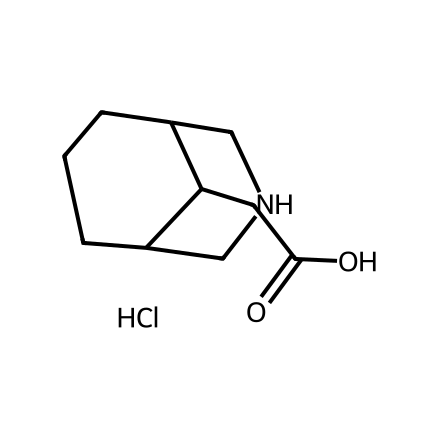 Cl.O=C(O)CC1C2CCCC1CNC2